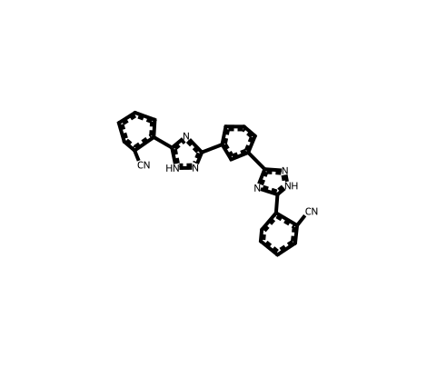 N#Cc1ccccc1-c1nc(-c2cccc(-c3n[nH]c(-c4ccccc4C#N)n3)c2)n[nH]1